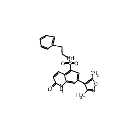 Cc1noc(C)c1-c1cc(S(=O)(=O)NCCc2ccccc2)c2ccc(=O)[nH]c2c1